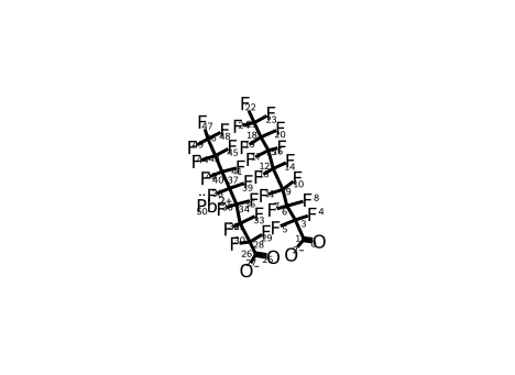 O=C([O-])C(F)(F)C(F)(F)C(F)(F)C(F)(F)C(F)(F)C(F)(F)C(F)(F)F.O=C([O-])C(F)(F)C(F)(F)C(F)(F)C(F)(F)C(F)(F)C(F)(F)C(F)(F)F.[Pb+2]